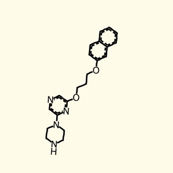 c1ccc2cc(OCCCOc3cncc(N4CCNCC4)n3)ccc2c1